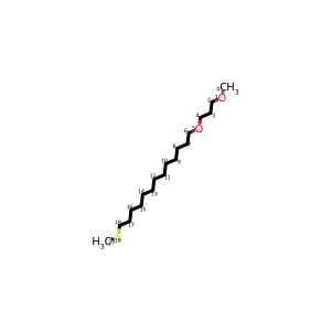 COCCCOCCCCCCCCCCCCCSC